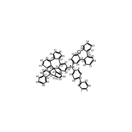 c1ccc(-c2ccc(N(c3ccc4c(c3)-c3ccccc3-c3ccccc3O4)c3ccc4c(c3)-c3ccccc3-c3ccccc3C43c4ccccc4-c4c3ccc3ccccc43)cc2)cc1